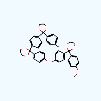 COc1ccc(C2(c3ccc(Oc4ccc(C5(c6ccc(C7(c8ccc(C)cc8)OCCO7)cc6)OCCO5)cc4)cc3)OCCO2)cc1